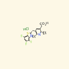 CCc1nc(CC)c(Cc2nc3c(F)c(F)cc(F)c3s2)cc1CC(=O)O.Cl